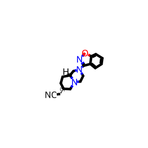 N#CC[C@@H]1CC[C@H]2CN(c3noc4ccccc34)CCN2C1